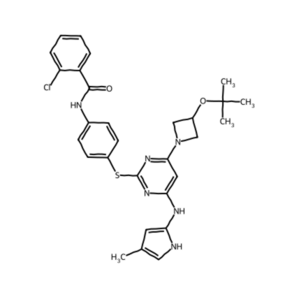 Cc1c[nH]c(Nc2cc(N3CC(OC(C)(C)C)C3)nc(Sc3ccc(NC(=O)c4ccccc4Cl)cc3)n2)c1